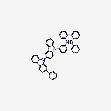 c1ccc(B2c3ccccc3-c3ccccc3N2c2cccc(-n3c4ccccc4c4cc(-n5c6ccccc6c6ccc(-c7ccccc7)cc65)ccc43)c2)cc1